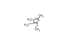 CCCCN(CCC)N(CCC)C(C)C